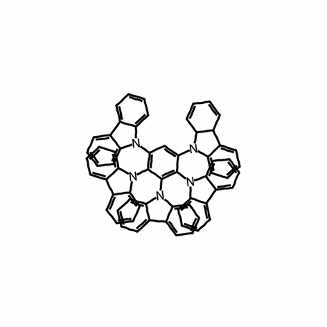 C1=CC2c3ccccc3N(c3cc(-n4c5ccccc5c5ccccc54)c(-n4c5ccccc5c5ccccc54)c(-n4c5ccccc5c5ccccc54)c3-n3c4ccccc4c4ccccc43)C2C=C1